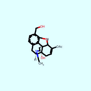 CC(=O)OC1=CC[C@@]2(O)[C@H]3Cc4ccc(CO)c5c4[C@@]2(CCN3C)[C@H]1O5